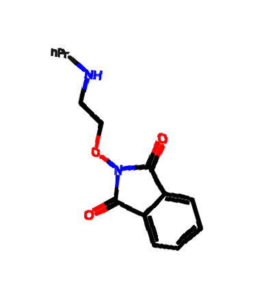 CCCNCCON1C(=O)c2ccccc2C1=O